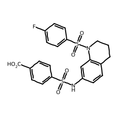 O=C(O)c1ccc(S(=O)(=O)Nc2ccc3c(c2)N(S(=O)(=O)c2ccc(F)cc2)CCC3)cc1